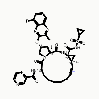 Cc1nc2cccc(F)c2nc1O[C@@H]1C[C@H]2C(=O)N[C@]3(C(=O)NS(=O)(=O)C4CC4)C[C@H]3/C=C\CCCCC[C@H](NC(=O)c3cnccn3)C(=O)N2C1